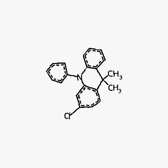 CC1(C)c2ccccc2N(c2ccccc2)c2cc(Cl)ccc21